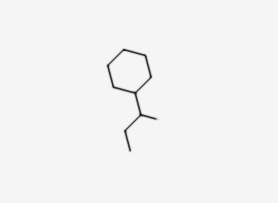 CCC(Cl)C1CCCCC1